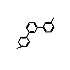 Cc1cccc(-c2cccc(C3=CC[C@](C)(I)C=C3)c2)c1